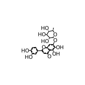 C[C@H]1OC(Oc2cc3oc(-c4ccc(O)c(O)c4)cc(=O)c3c(O)c2O)[C@@H](O)[C@@H](O)[C@@H]1O